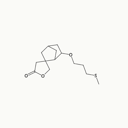 CSCCCOC1CC2CC1C1(COC(=O)C1)C2